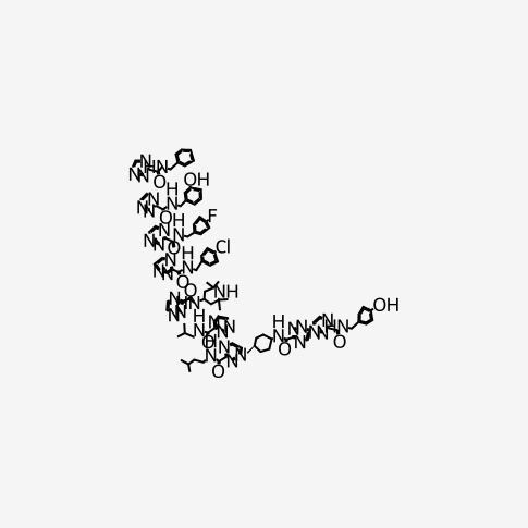 CC(C)CCNC(=O)c1nccnn1.CC(C)CNC(=O)c1nccnn1.CC1(C)CC(NC(=O)c2nccnn2)CC(C)(C)N1.C[C@H]1CC[C@H](NC(=O)c2nccnn2)CC1.O=C(NCc1ccc(Cl)cc1)c1nccnn1.O=C(NCc1ccc(F)cc1)c1nccnn1.O=C(NCc1ccc(O)cc1)c1nccnn1.O=C(NCc1cccc(O)c1)c1nccnn1.O=C(NCc1ccccc1)c1nccnn1